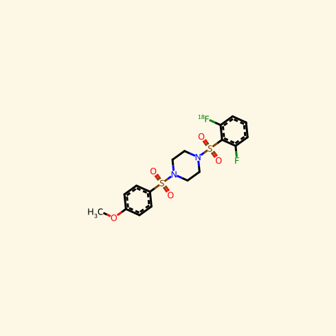 COc1ccc(S(=O)(=O)N2CCN(S(=O)(=O)c3c(F)cccc3[18F])CC2)cc1